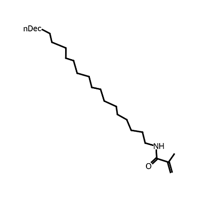 C=C(C)C(=O)NCCCCCCCCCCCCCCCCCCCCCCCCCC